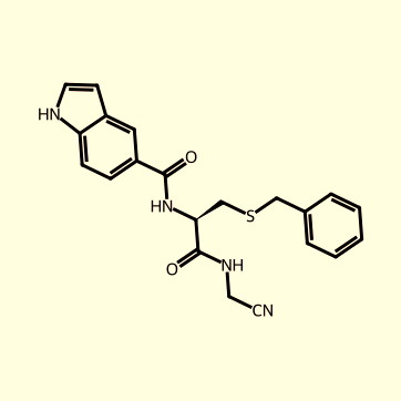 N#CCNC(=O)[C@H](CSCc1ccccc1)NC(=O)c1ccc2[nH]ccc2c1